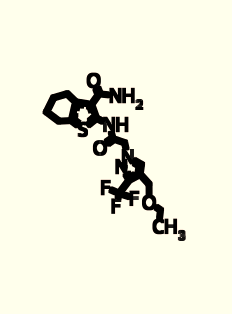 CCOCc1cn(CC(=O)Nc2sc3c(c2C(N)=O)CCCC3)nc1C(F)(F)F